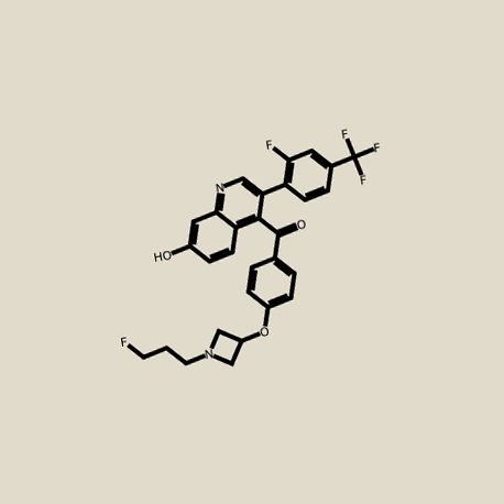 O=C(c1ccc(OC2CN(CCCF)C2)cc1)c1c(-c2ccc(C(F)(F)F)cc2F)cnc2cc(O)ccc12